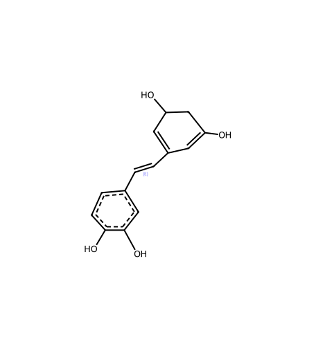 OC1=CC(/C=C/c2ccc(O)c(O)c2)=CC(O)C1